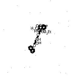 CCOC(=O)C1=C(COCCNCC(O)COc2cccc3ccccc23)NC(C)=C(C(=O)OC)C1c1ccccc1Cl